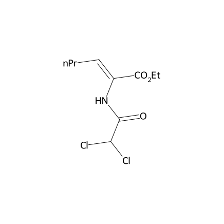 CCCC=C(NC(=O)C(Cl)Cl)C(=O)OCC